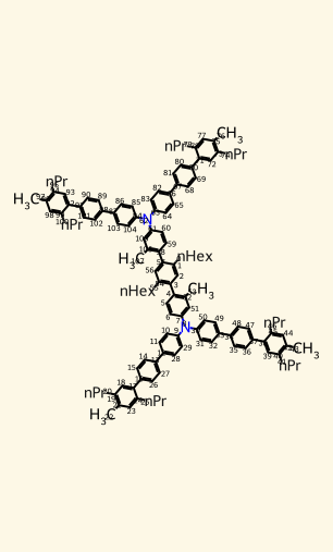 CCCCCCc1cc(-c2ccc(N(c3ccc(-c4ccc(-c5cc(CCC)c(C)cc5CCC)cc4)cc3)c3ccc(-c4ccc(-c5cc(CCC)c(C)cc5CCC)cc4)cc3)cc2C)c(CCCCCC)cc1-c1ccc(N(c2ccc(-c3ccc(-c4cc(CCC)c(C)cc4CCC)cc3)cc2)c2ccc(-c3ccc(-c4cc(CCC)c(C)cc4CCC)cc3)cc2)cc1C